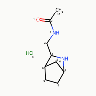 Cl.O=C(NCC1NC2CCC1C2)C(F)(F)F